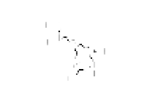 CCCN(C)CCCN(CCC[SiH2]OC(CC)CC)CCCN(C)CCC